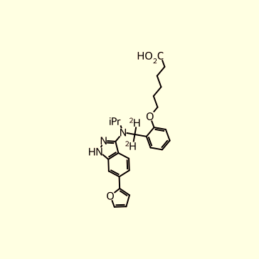 [2H]C([2H])(c1ccccc1OCCCCCC(=O)O)N(c1n[nH]c2cc(-c3ccco3)ccc12)C(C)C